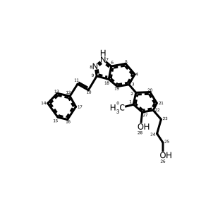 Cc1c(-c2ccc3[nH]nc(C=Cc4ccccc4)c3c2)ccc(CCCO)c1O